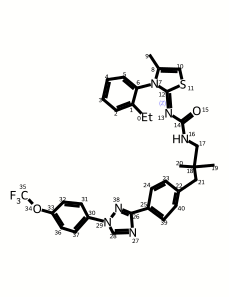 CCc1ccccc1-n1c(C)cs/c1=N\C(=O)NCC(C)(C)Cc1ccc(-c2ncn(-c3ccc(OC(F)(F)F)cc3)n2)cc1